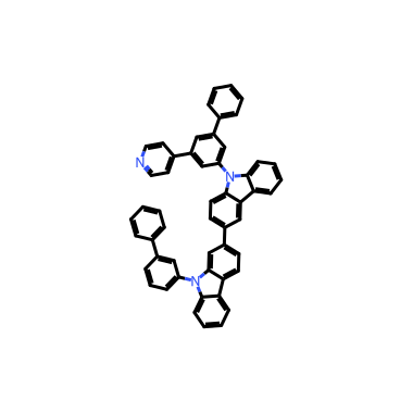 c1ccc(-c2cccc(-n3c4ccccc4c4ccc(-c5ccc6c(c5)c5ccccc5n6-c5cc(-c6ccccc6)cc(-c6ccncc6)c5)cc43)c2)cc1